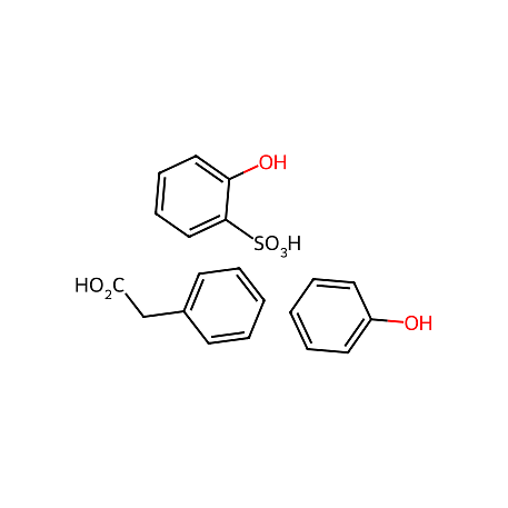 O=C(O)Cc1ccccc1.O=S(=O)(O)c1ccccc1O.Oc1ccccc1